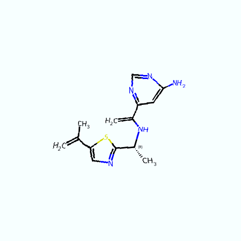 C=C(N[C@H](C)c1ncc(C(=C)C)s1)c1cc(N)ncn1